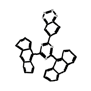 c1ccc2c(-c3nc(-c4ccc5nnnnc5c4)nc(-c4c5ccccc5cc5ccccc45)n3)c3ccccc3cc2c1